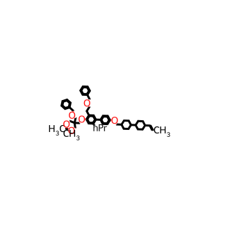 C/C=C/C1CCC(C2CCC(COc3ccc(-c4cc(CCOCc5ccccc5)c(OCC5(COCc6ccccc6)COC(C)(C)OC5)cc4CCC)cc3)CC2)CC1